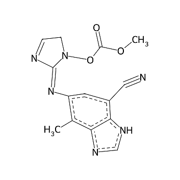 COC(=O)ON1CC=NC1=Nc1cc(C#N)c2[nH]cnc2c1C